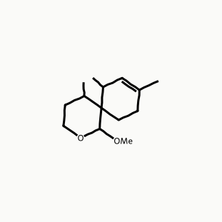 COC1OCCC(C)C12CCC(C)=CC2C